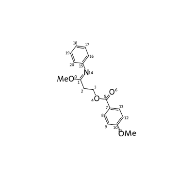 COC(CCOC(=O)c1ccc(OC)cc1)=Nc1ccccc1